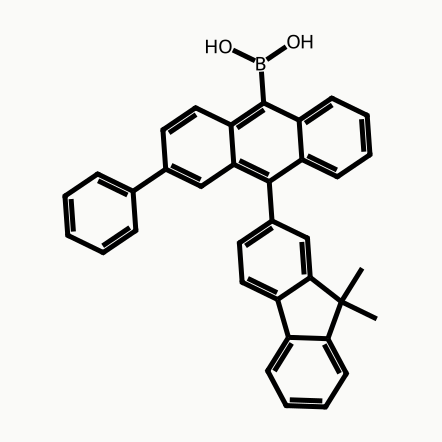 CC1(C)c2ccccc2-c2ccc(-c3c4ccccc4c(B(O)O)c4ccc(-c5ccccc5)cc34)cc21